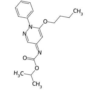 CCCCOc1cc(=NC(=O)OC(C)C)cnn1-c1ccccc1